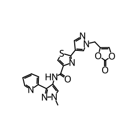 Cn1cc(NC(=O)c2csc(-c3cnn(Cc4coc(=O)o4)c3)n2)c(-c2ccccn2)n1